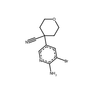 N#CC1(c2cnc(N)c(Br)c2)CCOCC1